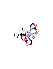 CC(C)(C)C(=O)ON(N1CCOC1=O)P(N)(=O)NN1CCOC1=O